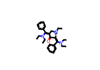 CCN1CC(=C(c2ccccc2)N(CC)CC)C(=O)C(=C(c2ccccc2)N(CC)CC)C1